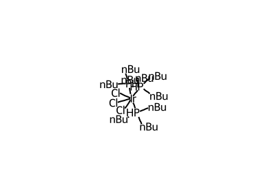 CCCC[PH](CCCC)(CCCC)[Ir]([Cl])([Cl])([Cl])([PH](CCCC)(CCCC)CCCC)[PH](CCCC)(CCCC)CCCC